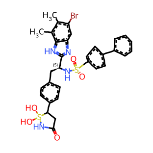 Cc1c(Br)cc2nc([C@H](Cc3ccc(C4CC(=O)NS4(O)O)cc3)NS(=O)(=O)c3ccc(-c4ccccc4)cc3)[nH]c2c1C